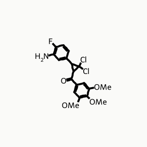 COc1cc(C(=O)C2C(c3ccc(F)c(N)c3)C2(Cl)Cl)cc(OC)c1OC